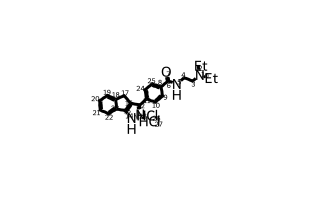 CCN(CC)CCNC(=O)c1ccc(-c2n[nH]c3c2Cc2ccccc2-3)cc1.Cl.Cl